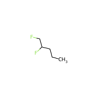 CCCC(F)CF